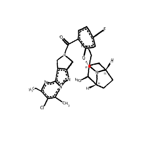 CCCN1[C@H]2CC[C@@H]1C(O)[C@H](Oc1cc(F)ccc1C(=O)N1Cc3nn4c(C)c(Cl)c(C)nc4c3C1)C2